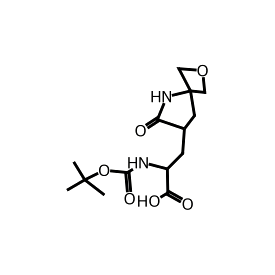 CC(C)(C)OC(=O)NC(CC1CC2(COC2)NC1=O)C(=O)O